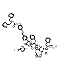 CSCC[C@H](NC(=O)[C@H](Cc1ccccc1)NC(=O)[C@H](Cc1ccc(O)cc1)NC(=O)c1ccc(/C=C/c2ccc(NC(=O)CN(Cc3ccccn3)Cc3ccccn3)cc2)cc1)C(=O)N[C@H](C(=O)N[C@@H](Cc1ccccc1)C(=O)O)C(C)C